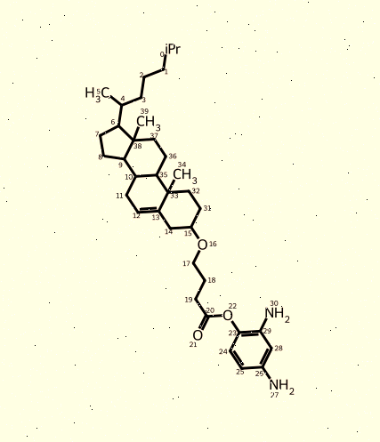 CC(C)CCCC(C)C1CCC2C3CC=C4CC(OCCCC(=O)Oc5ccc(N)cc5N)CCC4(C)C3CCC12C